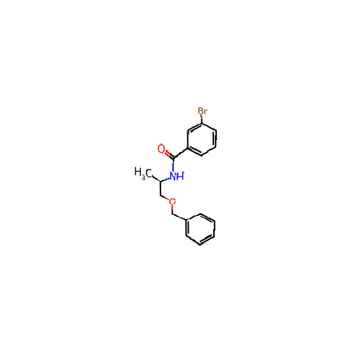 CC(COCc1ccccc1)NC(=O)c1cccc(Br)c1